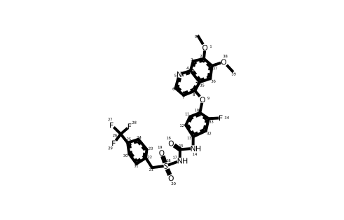 COc1cc2nccc(Oc3ccc(NC(=O)NS(=O)(=O)Cc4ccc(C(F)(F)F)cc4)cc3F)c2cc1OC